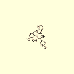 COc1ccc([C@H](O)[C@H](C)Oc2c(Cn3cnc4cccnc43)ccc(OC)c2O)cn1